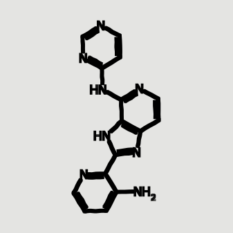 Nc1cccnc1-c1nc2ccnc(Nc3ccncn3)c2[nH]1